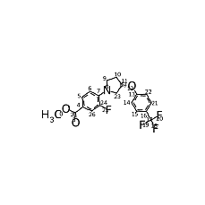 COC(=O)c1ccc(N2CC[C@H](Oc3ccc(C(F)(F)F)cc3)C2)c(F)c1